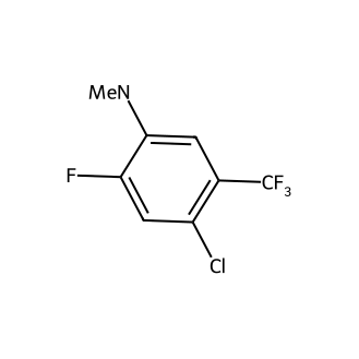 CNc1cc(C(F)(F)F)c(Cl)cc1F